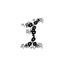 CC1(C)c2cc(/C=C/c3ccc(N(c4ccc([Si](C)(C)C)cc4)c4ccc([Si](C)(C)C)cc4)cc3)ccc2-c2ccc(N(c3ccc([Si](C)(C)C)cc3)c3ccc([Si](C)(C)C)cc3)cc21